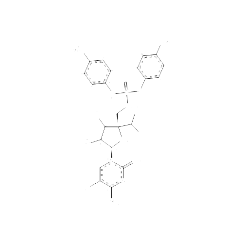 COc1ccc(OP(=O)(OC[C@@]2(C(F)F)O[C@@H](n3cc(F)c(N)nc3=O)C(O)C2O)Oc2ccc(OC)cc2)cc1